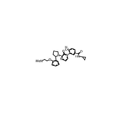 CNCCOc1ccccc1C1CCCN1c1nccn(-c2cc(C(=O)NC3CC3)ccc2C)c1=O